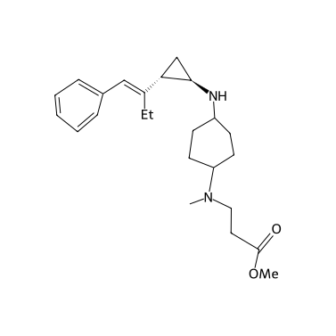 CC/C(=C\c1ccccc1)[C@@H]1C[C@H]1NC1CCC(N(C)CCC(=O)OC)CC1